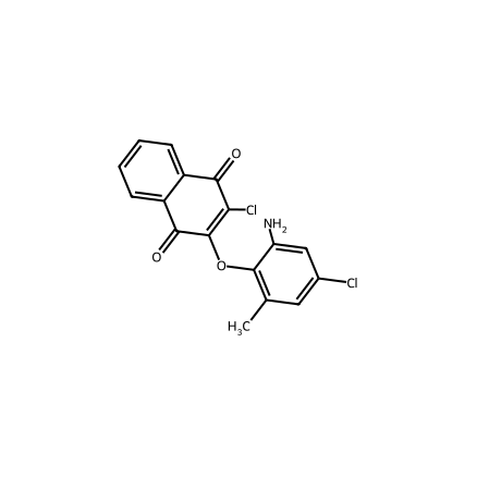 Cc1cc(Cl)cc(N)c1OC1=C(Cl)C(=O)c2ccccc2C1=O